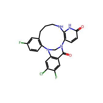 O=C1c2cc(F)c(Cl)cc2N2CN1c1ccc(=O)[nH]c1NCCCc1cc(F)ccc12